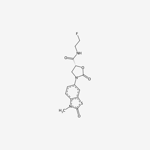 Cn1c(=O)sc2cc(N3C[C@H](C(=O)NCCF)OC3=O)ccc21